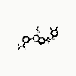 CCO[C@H]1CC(c2cccc(C(=O)N(C)C)c2)Nc2ccc(S(=O)(=O)Nc3ccc(C)c(C)c3)cc21